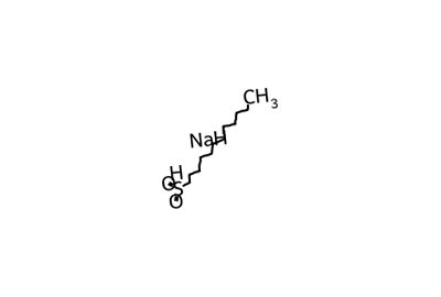 CCCCCCCCCCCC[SH](=O)=O.[NaH]